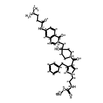 CN(C)CCC(=O)Nc1ccc2c(=O)n(CC3(O)CCN(C(=O)c4cn(CCNC(=O)OC(C)(C)C)nc4Cc4ccccc4)CC3)cnc2c1